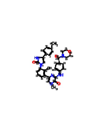 Cc1ccc(-c2cn(-c3cccc(-c4cn(C)c(=O)c(Nc5ccc(C(=O)N6CCOCC6)cc5)n4)c3C)c(=O)[nH]2)cc1